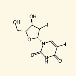 O=c1[nH]c(=O)n([C@@H]2O[C@H](CO)[C@@H](O)C2I)cc1I